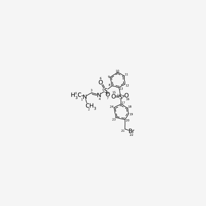 CN(C)C=NS(=O)(=O)c1ccccc1S(=O)(=O)c1ccc(CBr)cc1